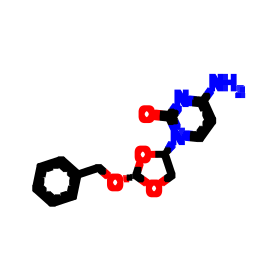 Nc1ccn([C@H]2CO[C@H](OCc3ccccc3)O2)c(=O)n1